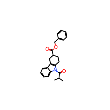 CC(C)C(=O)n1c2c(c3ccccc31)CC(C(=O)OCc1ccccc1)CC2